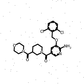 Nc1ncc(C(=O)N2CCCC(C(=O)N3CCOCC3)C2)cc1OCc1c(Cl)cccc1Cl